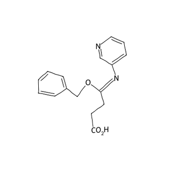 O=C(O)CCC(=Nc1cccnc1)OCc1ccccc1